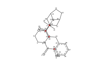 CC(C)(C)OC(=O)N1CCOC(C(C)(C)N2C3CCC2CN(C(=O)OCc2ccccc2)C3)C1